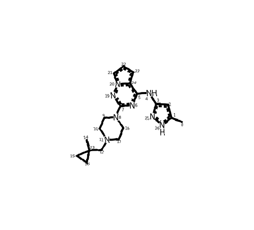 Cc1cc(Nc2nc(N3CCN(CC4(C)CC4)CC3)nn3cccc23)n[nH]1